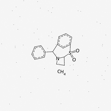 C.O=S1(=O)c2cccc(c2)C(c2ccccc2)N2CCC21